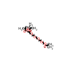 C=C(C)C(=O)OCCOCCOCCOCCOCC(COC(=O)C(=C)C)OC(=O)C(=C)C